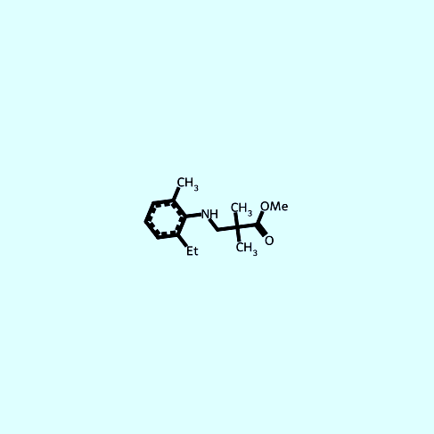 CCc1cccc(C)c1NCC(C)(C)C(=O)OC